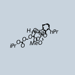 CCCc1cccc(CCC)c1OP(=O)(COC)N[C@@H](C)C(=O)OCOC(=O)OC(C)C